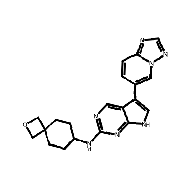 c1nc2ccc(-c3c[nH]c4nc(NC5CCC6(CC5)COC6)ncc34)cn2n1